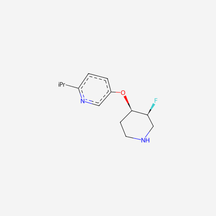 CC(C)c1ccc(O[C@@H]2CCNC[C@@H]2F)cn1